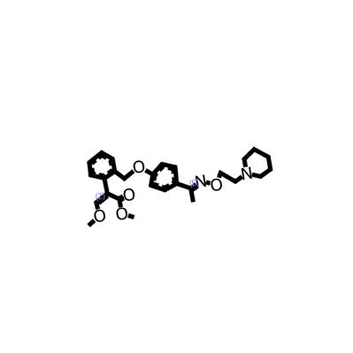 CO/C=C(\C(=O)OC)c1ccccc1COc1ccc(/C(C)=N/OCCN2CCCCC2)cc1